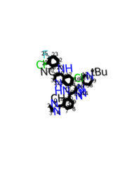 Cn1ccnc1-c1cccc([C@H](Nc2cc(Cl)cc3c(Nc4ccc(F)c(Cl)c4)c(C#N)cnc23)c2cn(C3CCN(C(C)(C)C)CC3)nn2)c1